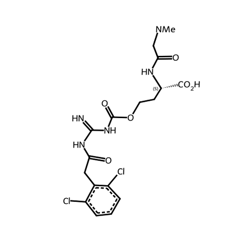 CNCC(=O)N[C@@H](CCOC(=O)NC(=N)NC(=O)Cc1c(Cl)cccc1Cl)C(=O)O